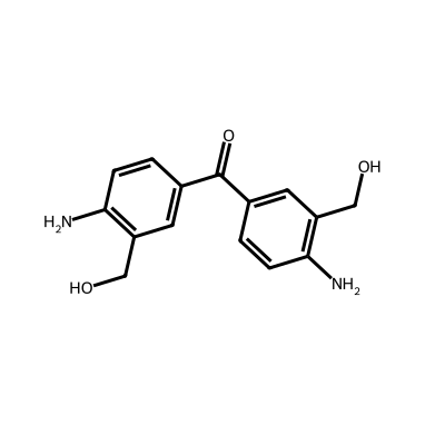 Nc1ccc(C(=O)c2ccc(N)c(CO)c2)cc1CO